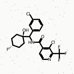 O=C(NC(c1cccc(Cl)c1)[C@]1(O)CC[C@H](F)CC1)c1ccnc(C(F)(F)F)c1Cl